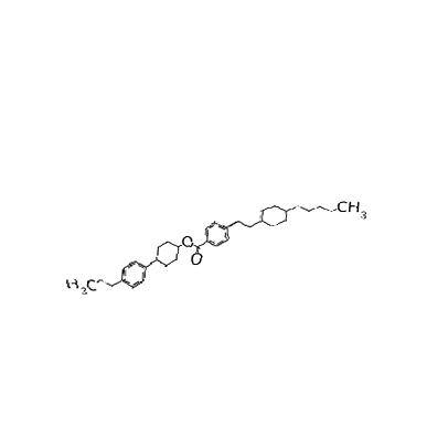 CCCCCC1CCC(CCc2ccc(C(=O)OC3CCC(c4ccc(CCC)cc4)CC3)cc2)CC1